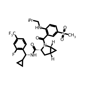 CC(C)CNc1ccc(S(C)(=O)=O)cc1C(=O)N1[C@@H](C(=O)N[C@@H](c2ccc(C(F)(F)F)cc2F)C2CC2)C[C@H]2C[C@H]21